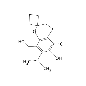 Cc1c(O)c(C(C)C)c(CO)c2c1CCC1(CCC1)O2